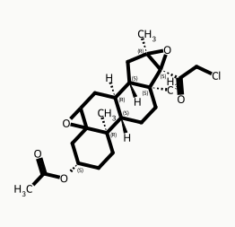 CC(=O)O[C@H]1CC[C@]2(C)[C@H]3CC[C@@]4(C)[C@@H](C[C@@]5(C)O[C@]54C(=O)CCl)[C@@H]3CC3OC32C1